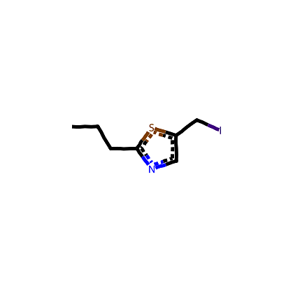 CCCc1ncc(CI)s1